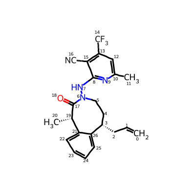 C=CC[C@H]1CCN(Nc2nc(C)cc(C(F)(F)F)c2C#N)C(=O)[C@@H](C)c2ccccc21